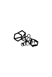 CS(=O)(=O)C12CC3CC(CC(C3)C1(Oc1ccccc1)C(=O)O)C2